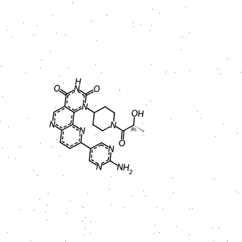 C[C@@H](O)C(=O)N1CCC(n2c(=O)[nH]c(=O)c3cnc4ccc(-c5cnc(N)nc5)nc4c32)CC1